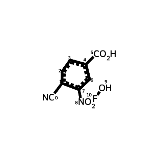 N#Cc1ccc(C(=O)O)cc1[N+](=O)[O-].OF